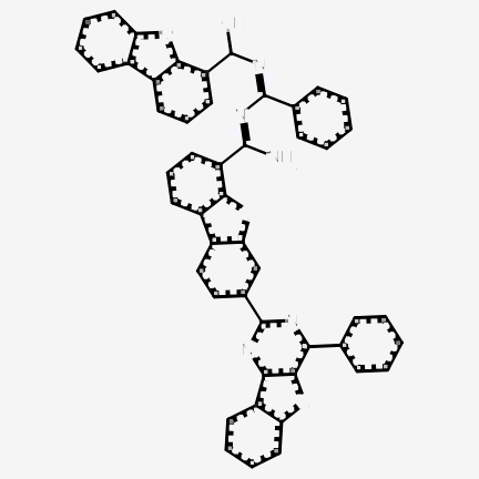 CC(/N=C(\N=C(/N)c1cccc2c1oc1cc(-c3nc(-c4ccccc4)c4sc5ccccc5c4n3)ccc12)c1ccccc1)c1cccc2c1oc1ccccc12